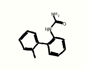 Cc1ccccc1-c1ccc[c]c1NC(N)=O